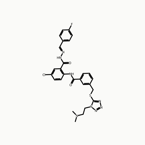 CN(C)CCn1nnnc1SCc1cccc(C(=O)Nc2ccc(Cl)cc2C(=O)N/N=C/c2ccc(F)cc2)c1